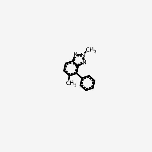 Cc1ccc2nn(C)nc2c1-c1ccccc1